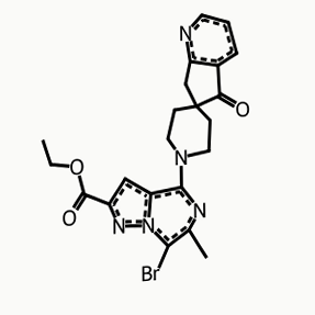 CCOC(=O)c1cc2c(N3CCC4(CC3)Cc3ncccc3C4=O)nc(C)c(Br)n2n1